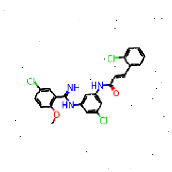 COc1ccc(Cl)cc1C(=N)Nc1cc(Cl)cc(NC(=O)/C=C/c2ccccc2Cl)c1